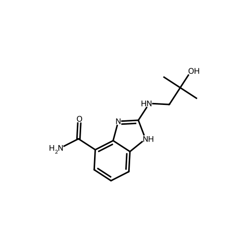 CC(C)(O)CNc1nc2c(C(N)=O)cccc2[nH]1